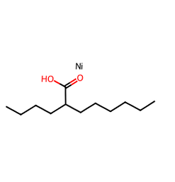 CCCCCCC(CCCC)C(=O)O.[Ni]